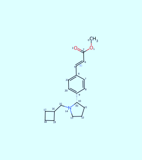 COC(=O)/C=C/c1ccc([C@@H]2CCCN2CC2CCC2)cc1